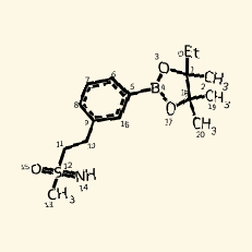 CCC1(C)OB(c2cccc(CCS(C)(=N)=O)c2)OC1(C)C